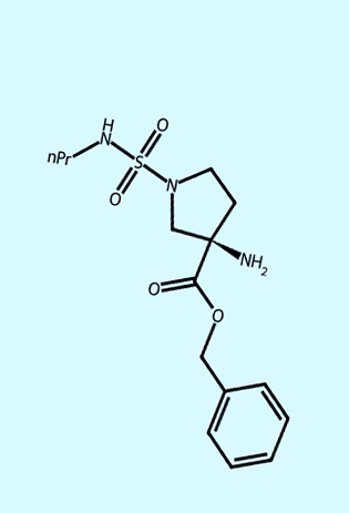 CCCNS(=O)(=O)N1CC[C@](N)(C(=O)OCc2ccccc2)C1